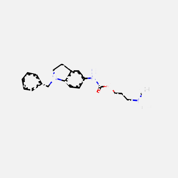 CN(C)CCCOC(=O)Nc1ccc2c(c1)CCN2Cc1ccccc1